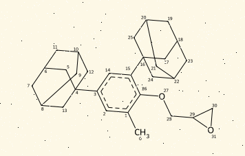 Cc1cc(C23CC4CC(CC(C4)C2)C3)cc(C23CC4CC(CC(C4)C2)C3)c1OCC1CO1